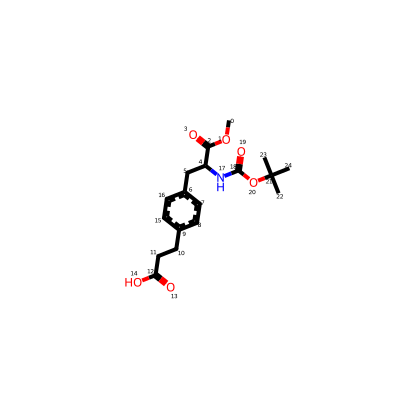 COC(=O)C(Cc1ccc(CCC(=O)O)cc1)NC(=O)OC(C)(C)C